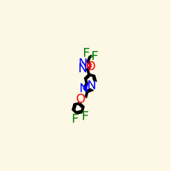 Fc1ccc(OCc2cn3ccc(-c4nnc(C(F)F)o4)cc3n2)cc1F